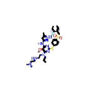 C/C=C(F)\C(=C/C)CS(=O)(=O)c1ccc(Sc2nc(Nc3cc(C)[nH]n3)c(OC)c(N(CCC)CCNCCN(C)C)n2)cc1